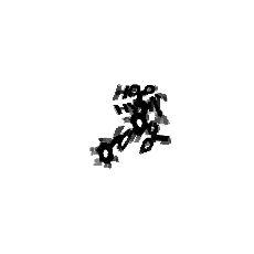 CC(=O)Oc1cc(OCc2ccccc2)cc2[nH]c(C(=O)O)c(N(C)C)c12